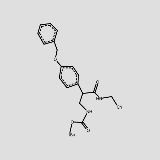 CC(C)(C)OC(=O)NCC(C(=O)NCC#N)c1ccc(OCc2ccccc2)cc1